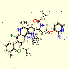 Cc1nc2c(F)c(-c3cccc(Cl)c3Cl)c(CCC#N)cc2c2c1cc(C1CC(Oc3cccnc3N)CN1C(=O)C1CC1)n2C1C2CNC1C2